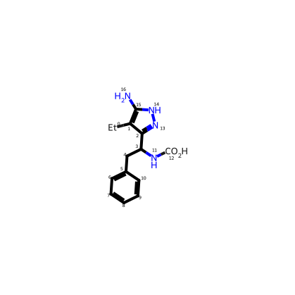 CCc1c(C(Cc2ccccc2)NC(=O)O)n[nH]c1N